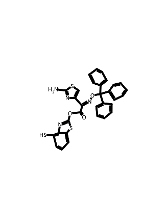 Nc1nc(/C(=N\OC(c2ccccc2)(c2ccccc2)c2ccccc2)C(=O)Oc2nc3c(S)cccc3s2)cs1